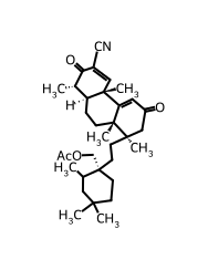 CC(=O)OC[C@]1(CC[C@]2(C)CC(=O)C=C3[C@@]4(C)C=C(C#N)C(=O)[C@@H](C)[C@@H]4CC[C@]32C)CCC(C)(C)CC1C